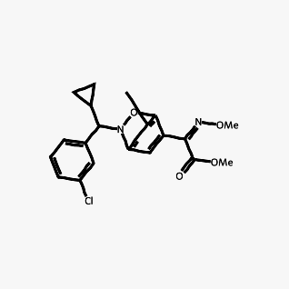 CON=C(C(=O)OC)c1cc2cc(C)c1ON2C(c1cccc(Cl)c1)C1CC1